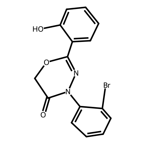 O=C1COC(c2ccccc2O)=NN1c1ccccc1Br